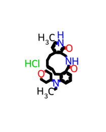 CCN(c1cccc2c1C/C=C/CCc1cc(C)[nH]c(=O)c1CNC2=O)C1CCOCC1.Cl